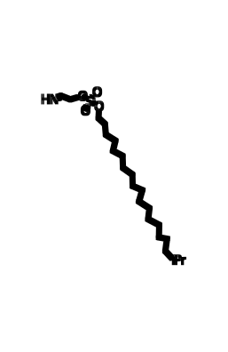 CC(C)CCCCCCCCCCCCCCCCCOS(=O)(=O)OCC=N